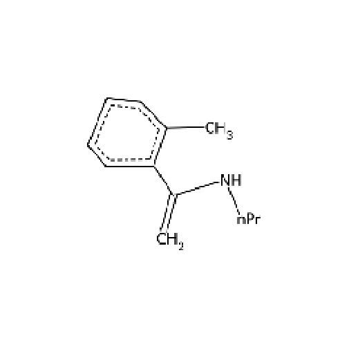 C=C(NCCC)c1ccccc1C